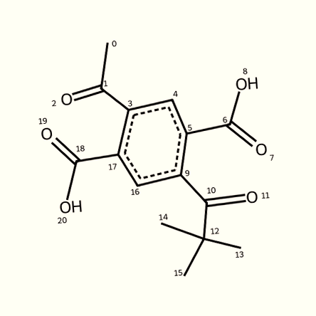 CC(=O)c1cc(C(=O)O)c(C(=O)C(C)(C)C)cc1C(=O)O